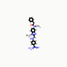 CN(C(=O)Cc1ccccc1)c1ccc2c(c1)nc(CNc1ccc(C(=N)N)cc1)n2C